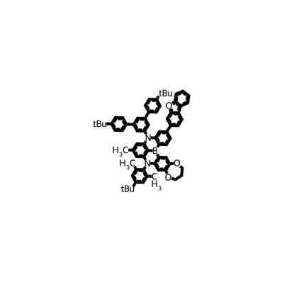 Cc1cc2c3c(c1)N(c1c(C)cc(C(C)(C)C)cc1C)c1cc4c(cc1B3c1ccc(-c3ccc5c(c3)oc3ccccc35)cc1N2c1cc(-c2ccc(C(C)(C)C)cc2)cc(-c2ccc(C(C)(C)C)cc2)c1)OCCCO4